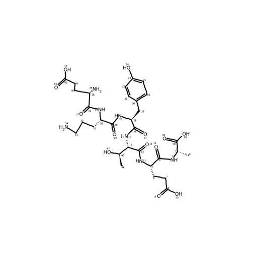 C[C@H](NC(=O)[C@H](CCC(=O)O)NC(=O)[C@@H](NC(=O)[C@H](Cc1ccc(O)cc1)NC(=O)[C@H](CCCN)NC(=O)[C@@H](N)CCC(=O)O)[C@@H](C)O)C(=O)O